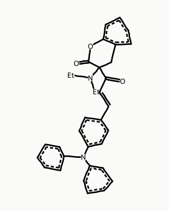 CCN(CC)C1(C(=O)/C=C/c2ccc(N(c3ccccc3)c3ccccc3)cc2)Cc2ccccc2OC1=O